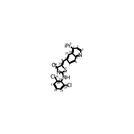 CC(C)c1ccnc2ccc(/C=C3\SC(Nc4c(Cl)cccc4Cl)=NC3=O)cc12